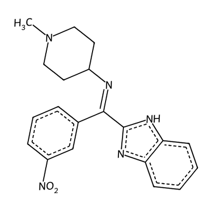 CN1CCC(/N=C(\c2cccc([N+](=O)[O-])c2)c2nc3ccccc3[nH]2)CC1